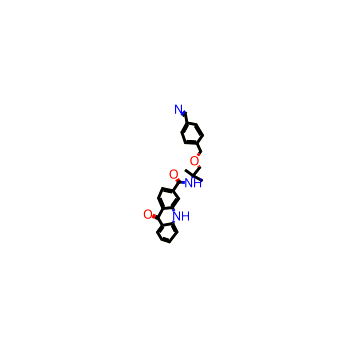 CC(C)(COCc1ccc(C#N)cc1)NC(=O)c1ccc2c(=O)c3ccccc3[nH]c2c1